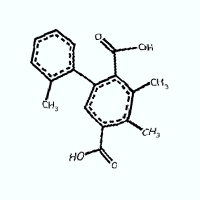 Cc1ccccc1-c1cc(C(=O)O)c(C)c(C)c1C(=O)O